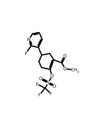 COC(=O)C1=C(OS(=O)(=O)C(F)(F)F)CCC(c2cccnc2F)C1